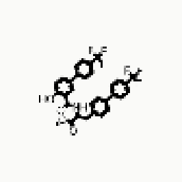 COC(=O)C(Cc1ccc(-c2ccc(C(F)(F)F)cc2)cc1)NC(=O)c1cc(-c2ccc(C(F)(F)F)cc2)ccc1O